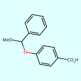 COC(Oc1ccc(C(=O)O)cc1)c1ccccc1